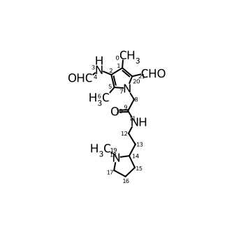 Cc1c(NC=O)c(C)n(CC(=O)NCCC2CCCN2C)c1C=O